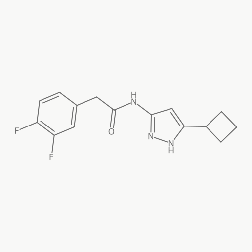 O=C(Cc1ccc(F)c(F)c1)Nc1cc(C2CCC2)[nH]n1